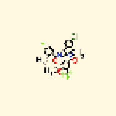 COc1ccc(C(=O)N(C)C2CN(C(=O)c3ccc(F)cc3C)CC2c2ccc(Cl)cc2)cc1C(F)(F)F